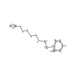 NCCCCCCSSc1ccccn1